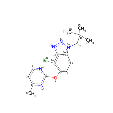 Cc1ccnc(Oc2ccc3c(nnn3CC(C)(C)C)c2Br)n1